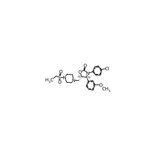 CCS(=O)(=O)N1CCN(C[C@@H]2OC(=O)N(c3ccc(Cl)cc3)[C@H]2c2cccc(OC)c2)CC1